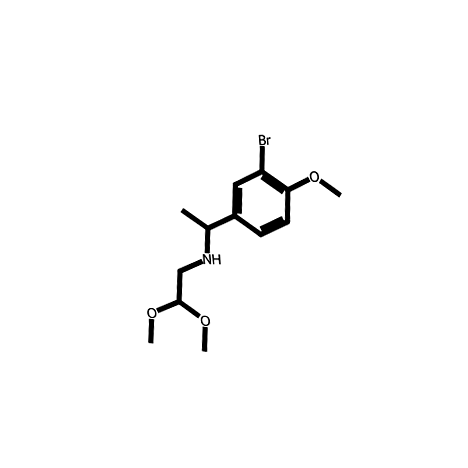 COc1ccc(C(C)NCC(OC)OC)cc1Br